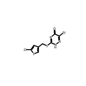 CCc1n[nH]c(SCc2csc(Cl)c2)nc1=O